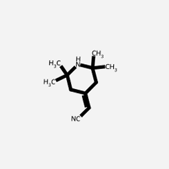 CC1(C)CC(=CC#N)CC(C)(C)N1